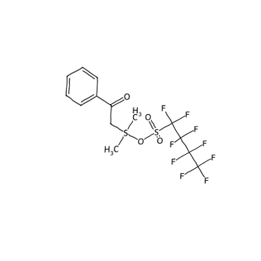 CS(C)(CC(=O)c1ccccc1)OS(=O)(=O)C(F)(F)C(F)(F)C(F)(F)C(F)(F)F